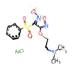 CN(C)CCOc1no[n+]([O-])c1S(=O)(=O)c1ccccc1.Cl